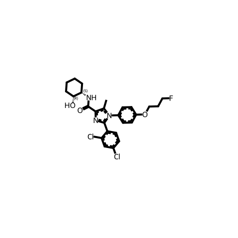 Cc1c(C(=O)N[C@H]2CCCC[C@H]2O)nc(-c2ccc(Cl)cc2Cl)n1-c1ccc(OCCCF)cc1